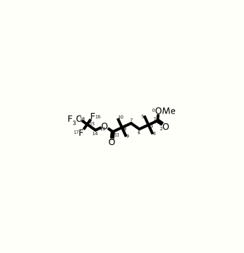 COC(=O)C(C)(C)CCC(C)(C)C(=O)OCC(F)(F)C(F)(F)F